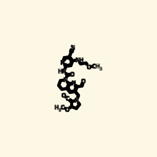 COCCNc1cc(NC(=O)N2CCCc3cc(CN4CCC(OC)C4=C=O)c(C=O)nc32)ncc1C#N